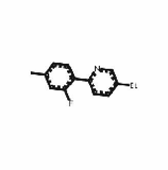 CCc1ccc(-c2ccc(C)cc2F)nc1